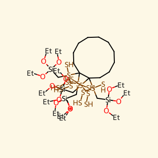 CCO[Si](CS(S)(SS)C1(S(S)(C[Si](OCC)(OCC)OCC)SS)CCCCCCCCCCC1(S(S)(C[Si](OCC)(OCC)OCC)SS)S(S)(C[Si](OCC)(OCC)OCC)SS)(OCC)OCC